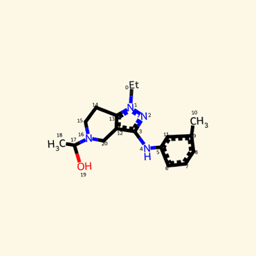 CCn1nc(Nc2cccc(C)c2)c2c1CCN(C(C)O)C2